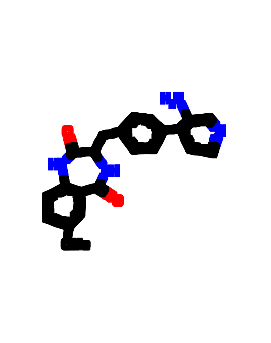 COc1ccc2c(c1)C(=O)NC(Cc1ccc(-c3ccncc3N)cc1)C(=O)N2